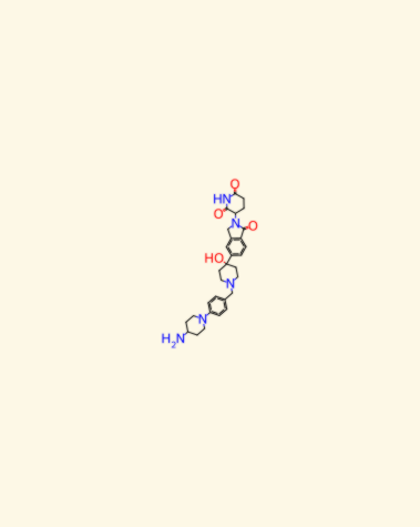 NC1CCN(c2ccc(CN3CCC(O)(c4ccc5c(c4)CN(C4CCC(=O)NC4=O)C5=O)CC3)cc2)CC1